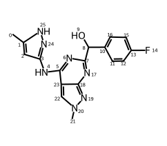 Cc1cc(Nc2nc(C(O)c3ccc(F)cc3)nc3nn(C)cc23)n[nH]1